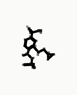 CN(O[SH](=O)=O)c1ccc(C(=O)O)cc1OCC1CC1